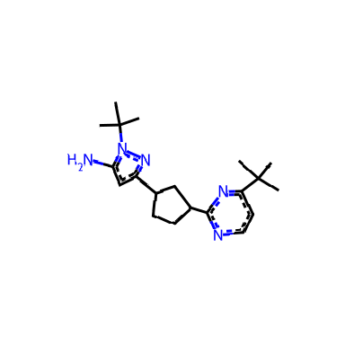 CC(C)(C)c1ccnc(C2CCC(c3cc(N)n(C(C)(C)C)n3)C2)n1